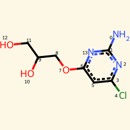 Nc1nc(Cl)cc(OCC(O)CO)n1